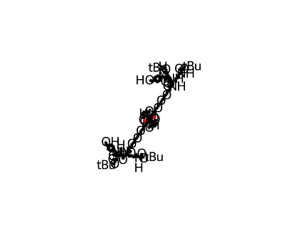 CC(C)(C)OC(=O)C[C@H](NC(=O)[C@H](CCCCNC(=O)OC(C)(C)C)NC(=O)CCOCCOCCOCCNC(=O)C(C(C(=O)NCCOCCOCCOCCC(=O)N[C@@H](CCCCNC(=O)OC(C)(C)C)C(=O)N[C@@H](CC(=O)OC(C)(C)C)C(=O)Nc1ccc(CO)cc1)N1C(=O)C=CC1=O)N1C(=O)C=CC1=O)C(=O)Nc1ccc(CO)cc1